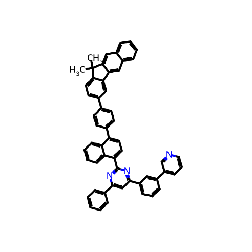 CC1(C)c2ccc(-c3ccc(-c4ccc(-c5nc(-c6ccccc6)cc(-c6cccc(-c7cccnc7)c6)n5)c5ccccc45)cc3)cc2-c2cc3ccccc3cc21